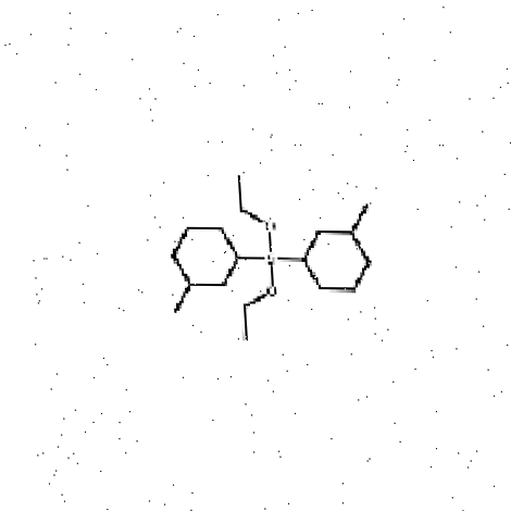 CCO[Si](OCC)(C1CCCC(C)C1)C1CCCC(C)C1